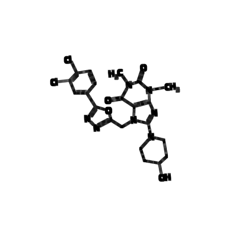 Cn1c(=O)c2c(nc(N3CCC(O)CC3)n2Cc2nnc(-c3ccc(Cl)c(Cl)c3)o2)n(C)c1=O